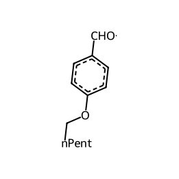 CCCCCCOc1ccc([C]=O)cc1